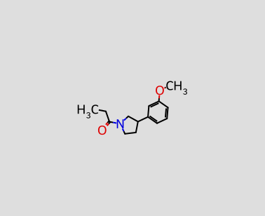 CCC(=O)N1CCC(c2cccc(OC)c2)C1